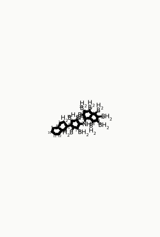 Bc1c(B)c(-c2ccc3ccccc3c2)c(B)c(B)c1Nc1c(B)c(B)c(B)c2c(B)c(B)c(B)c(B)c12